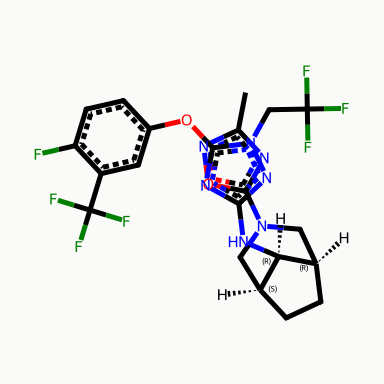 Cc1noc(N2C[C@H]3CC[C@@H](C2)[C@H]3Nc2nc(Oc3ccc(F)c(C(F)(F)F)c3)n(CC(F)(F)F)n2)n1